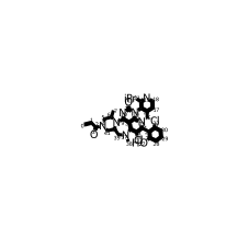 C=CC(=O)N1CC(C)N2c3nc(=O)n(-c4c(C)ccnc4C(C)C)c4nc(-c5c(O)cccc5Cl)c(Cl)c(c34)N(C)CC2C1